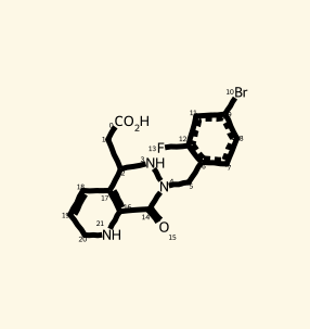 O=C(O)CC1NN(Cc2ccc(Br)cc2F)C(=O)C2=C1C=CCN2